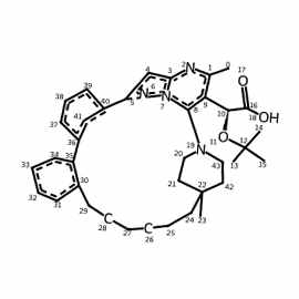 Cc1nc2cc3nn2c(c1[C@H](OC(C)(C)C)C(=O)O)N1CCC(C)(CCCCCCc2ccccc2-c2cccc-3c2)CC1